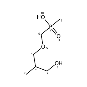 CC(CO)COCP(C)(=O)O